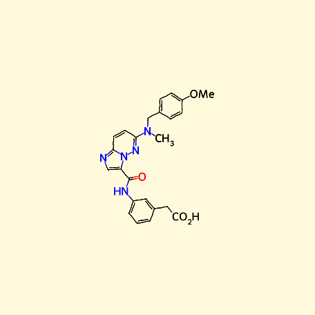 COc1ccc(CN(C)c2ccc3ncc(C(=O)Nc4cccc(CC(=O)O)c4)n3n2)cc1